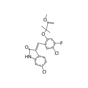 C=C(OC)C(C)(C)Oc1cc(F)c(Cl)cc1/C=C1/C(=O)Nc2cc(Cl)ccc21